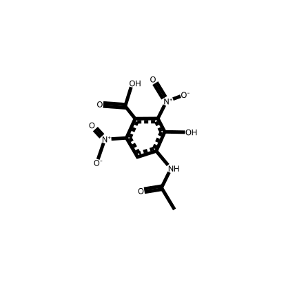 CC(=O)Nc1cc([N+](=O)[O-])c(C(=O)O)c([N+](=O)[O-])c1O